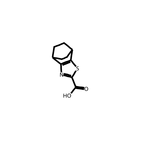 O=C(O)c1nc2c(s1)C1CCC2CC1